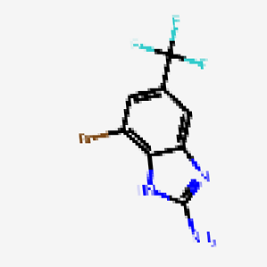 Nc1nc2cc(C(F)(F)F)cc(Br)c2[nH]1